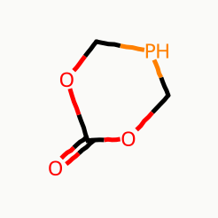 O=C1OCPCO1